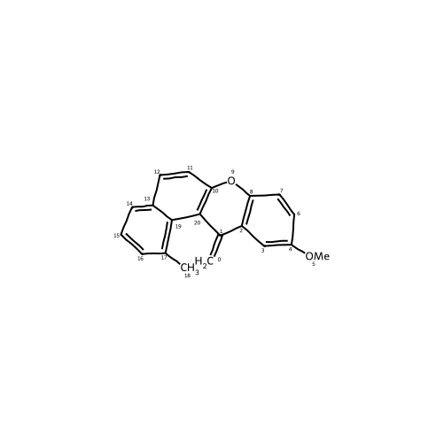 C=C1c2cc(OC)ccc2Oc2ccc3cccc(C)c3c21